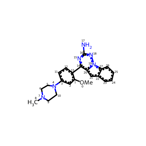 COc1cc(N2CCN(C)CC2)ccc1-c1nc(N)nn2c1cc1ccccc12